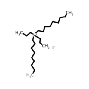 CCCCCCCCC[N+](CCC)(CCC)CCCCCCCCC.[I-]